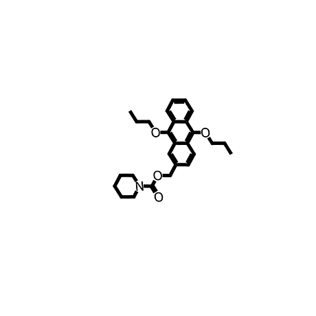 CCCOc1c2ccccc2c(OCCC)c2cc(COC(=O)N3CCCCC3)ccc12